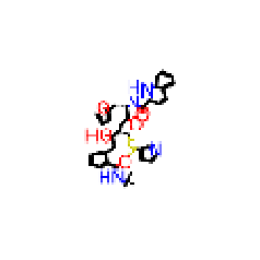 CC(C)(C)NC(=O)c1ccccc1C[C@@H](O)[C@H](CSc1cccnc1)CC(=O)[C@H](Cc1ccco1)NC(=O)c1ccc2ccccc2n1